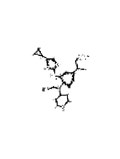 CC(C)CN(c1ccc([C@H](C)CC(=O)O)cc1Nc1nc(C2CC2)cs1)C1CCOCC1